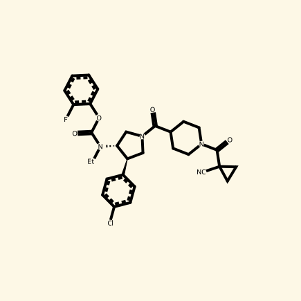 CCN(C(=O)Oc1ccccc1F)[C@@H]1CN(C(=O)C2CCN(C(=O)C3(C#N)CC3)CC2)C[C@H]1c1ccc(Cl)cc1